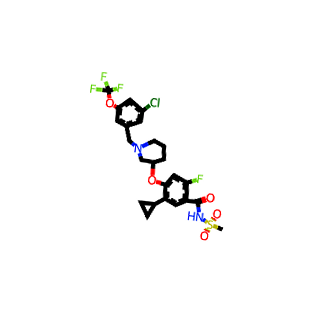 CS(=O)(=O)NC(=O)c1cc(C2CC2)c(OC2CCCN(Cc3cc(Cl)cc(OC(F)(F)F)c3)C2)cc1F